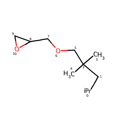 CC(C)CC(C)(C)COCC1CO1